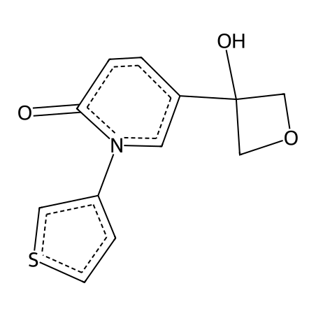 O=c1ccc(C2(O)COC2)cn1-c1ccsc1